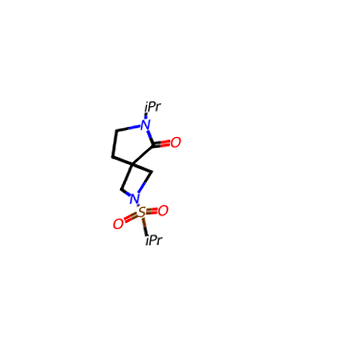 CC(C)N1CCC2(CN(S(=O)(=O)C(C)C)C2)C1=O